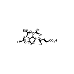 CCC(=O)O[C@H]1[C@H](OC(=O)/C=C/C(=O)O)OC[C@@H](OC(=O)CC)[C@H]1OC(=O)CC